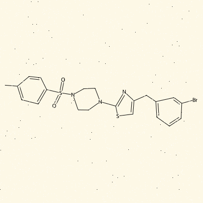 Cc1ccc(S(=O)(=O)N2CCN(c3nc(Cc4cccc(Br)c4)cs3)CC2)cc1